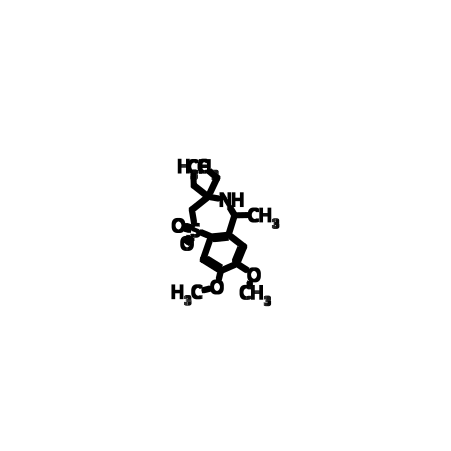 CCC1(CC)CS(=O)(=O)c2cc(OC)c(OC)cc2C(C)N1